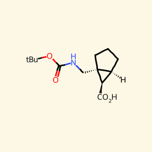 CC(C)(C)OC(=O)NC[C@]12CCC[C@H]1[C@H]2C(=O)O